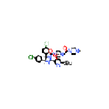 CCOc1cc(C(C)(C)C)ncc1C1=N[C@@](C)(c2ccc(Cl)cc2)[C@@](C)(c2ccc(Cl)cc2)N1C(=O)N1CCN(CC(=O)N2CCN(C)CC2)CC1